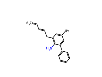 C=CC=CCc1cc(C(C)C)cc(-c2ccccc2)c1N